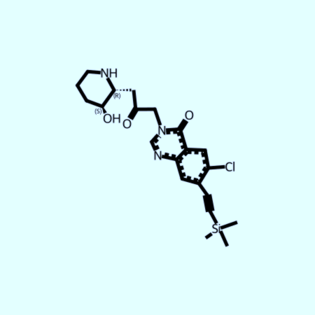 C[Si](C)(C)C#Cc1cc2ncn(CC(=O)C[C@H]3NCCC[C@@H]3O)c(=O)c2cc1Cl